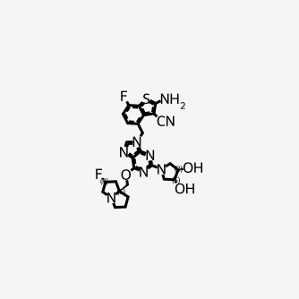 N#Cc1c(N)sc2c(F)ccc(Cn3cnc4c(OC[C@@]56CCCN5C[C@H](F)C6)nc(N5C[C@@H](O)[C@@H](O)C5)nc43)c12